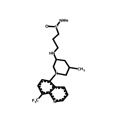 CN[S+]([O-])CCCNC1CC(C)CN(c2ccc(C(F)(F)F)c3ncccc23)C1